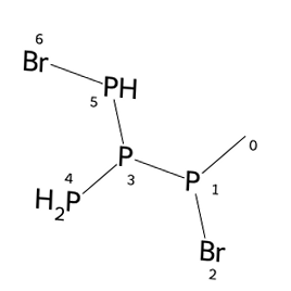 CP(Br)P(P)PBr